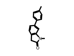 Cc1ccc(-c2ccc3c(c2)N(C)C(=O)C3)cc1